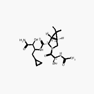 CC(C)(C)[C@H](NC(=O)C(F)(F)F)C(=O)N1C[C@H]2[C@H]([C@H]1C(=O)NC(CC1CC1)C(O)C(N)=O)C2(C)C